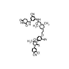 CC(C)c1cc(N2C(=S)N(c3ccc(C#N)c(Cl)c3)CC2(C)C)ccc1OCCN1C[C@@H](C)N(CC(=O)Nc2cc(C#N)cc(NC3CCC(=O)NC3=O)c2)[C@@H](C)C1